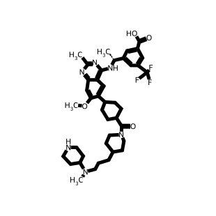 COc1cc2nc(C)nc(N[C@H](C)c3cc(C(=O)O)cc(C(F)(F)F)c3)c2cc1C1CCC(C(=O)N2CCC(CCCN(C)C3CCNCC3)CC2)CC1